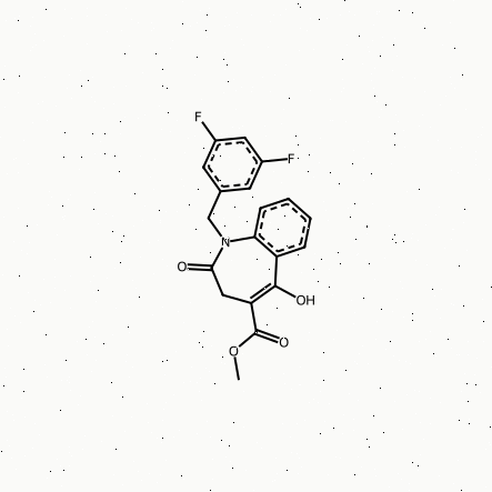 COC(=O)C1=C(O)c2ccccc2N(Cc2cc(F)cc(F)c2)C(=O)C1